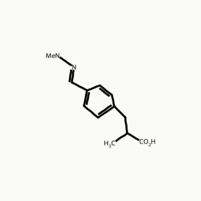 CN/N=C/c1ccc(CC(C)C(=O)O)cc1